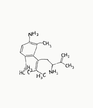 C#Cc1ccc(N)c(C)c1C(CC(N)C(=C)C)=C(C)C